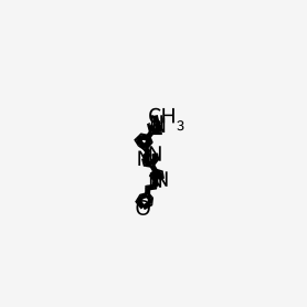 Cn1cc(-c2cccc(-c3ncc(-c4cnn(CCC5CCOCC5)c4)cn3)c2)cn1